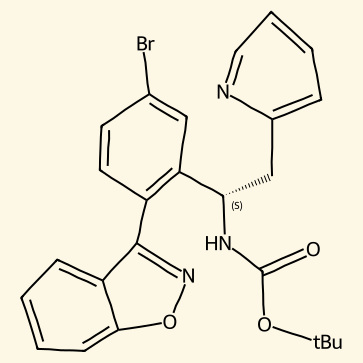 CC(C)(C)OC(=O)N[C@@H](Cc1ccccn1)c1cc(Br)ccc1-c1noc2ccccc12